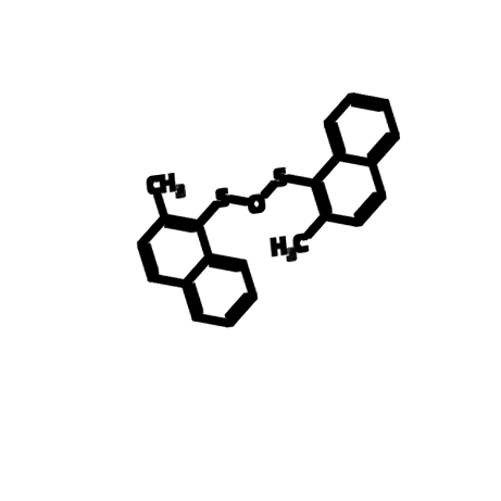 Cc1ccc2ccccc2c1SOSc1c(C)ccc2ccccc12